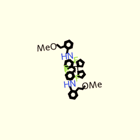 COCCc1ccccc1CNc1ccc(F)[c]([Ti]([C]2=CC=CC2)([C]2=CC=CC2)[c]2c(F)ccc(NCc3ccccc3CCOC)c2F)c1F